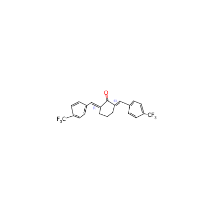 O=C1/C(=C/c2ccc(C(F)(F)F)cc2)CCC/C1=C\c1ccc(C(F)(F)F)cc1